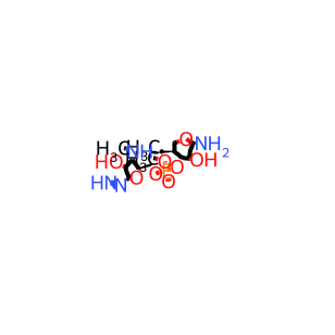 CC[C@H]1CO[C@@H](N)C(O)C1OP(=O)(OC)OC[C@H]1O[C@@H](N=N)C(O)C1NC